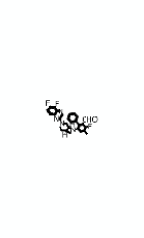 Cc1cc(N2C[C@H]3CCN(c4cnc5c(F)c(F)ccc5n4)C[C@H]32)c(-c2ccccc2)c(C=O)c1F